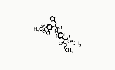 CCOC(=O)C(C(=O)OCC)c1cnc(NC(=O)C(CC2CCCC2)c2ccc(S(C)(=O)=O)c(Cl)c2)cn1